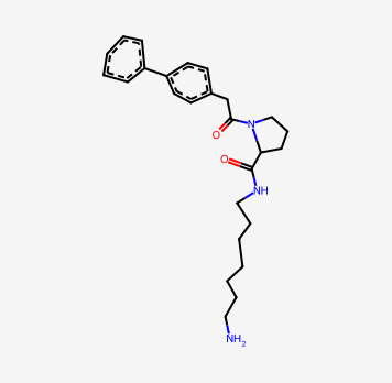 NCCCCCCCNC(=O)C1CCCN1C(=O)Cc1ccc(-c2ccccc2)cc1